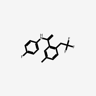 C=C(Nc1ccc(F)cc1)c1cc(C)ccc1CC(F)(F)F